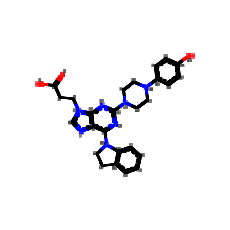 O=C(O)CCn1cnc2c(N3CCc4ccccc43)nc(N3CCN(c4ccc(O)cc4)CC3)nc21